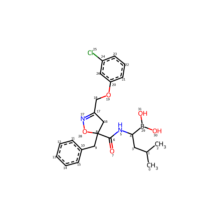 CC(C)CC(NC(=O)C1(Cc2ccccc2)CC(COc2cccc(Cl)c2)=NO1)B(O)O